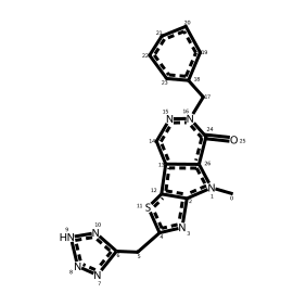 Cn1c2nc(Cc3nn[nH]n3)sc2c2cnn(Cc3ccccc3)c(=O)c21